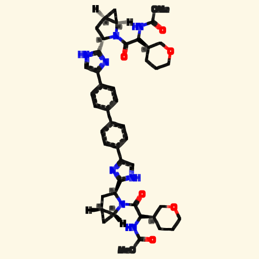 COC(=O)NC(C(=O)N1[C@@H]2C[C@@H]2C[C@H]1c1nc(-c2ccc(-c3ccc(-c4c[nH]c([C@@H]5C[C@H]6C[C@H]6N5C(=O)C(NC(=O)OC)[C@@H]5CCCOC5)n4)cc3)cc2)c[nH]1)[C@@H]1CCCOC1